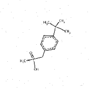 CC(C)(C)c1ccc(CP(C)(=O)O)cc1